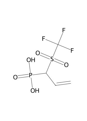 C=CC(P(=O)(O)O)S(=O)(=O)C(F)(F)F